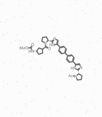 COC(=O)N[C@H]1CCC(C(=O)N2CCC[C@H]2c2ncc(-c3ccc(-c4ccc(-c5cnc([C@@H]6CCCN6C(C)=O)[nH]5)cc4)cc3)[nH]2)C1